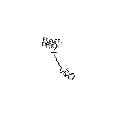 CC[Si](CC)(CC)OC(/C=C\CC(C)(C)CCC/C=C/CSc1nc2ccccc2s1)(C(F)(F)F)C(F)(F)F